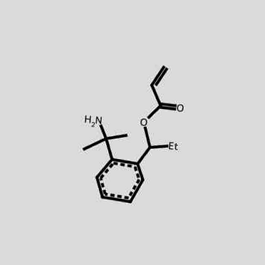 C=CC(=O)OC(CC)c1ccccc1C(C)(C)N